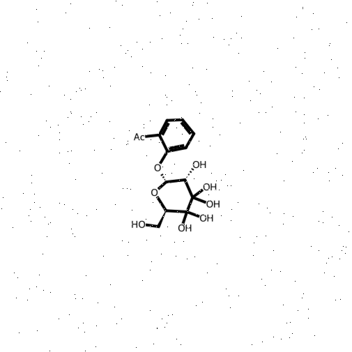 CC(=O)c1ccccc1O[C@H]1O[C@H](CO)C(O)(O)C(O)(O)[C@H]1O